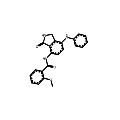 COc1ccccc1C(=O)Nc1ccc(Nc2ccccc2)c2c1C(=O)NC2